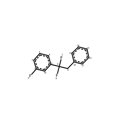 Fc1cccc(C(F)(F)Cc2ccccc2)c1